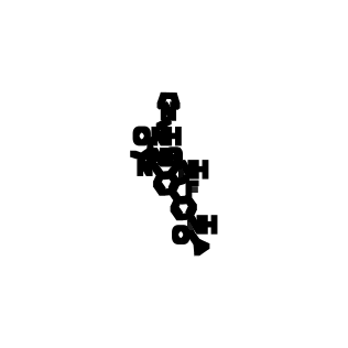 Cc1nc(-c2ccc(-c3ccc(NC(=O)C4CC4)cc3F)c3c2C(=O)NC3)[nH]c1C(=O)NCCN1CCCC1